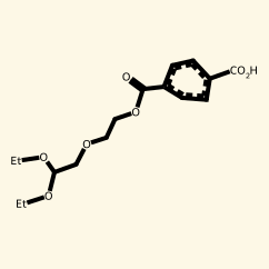 CCOC(COCCOC(=O)c1ccc(C(=O)O)cc1)OCC